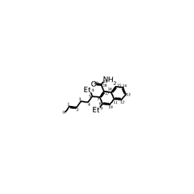 C/C=C/CCC(CC)c1c(CC)cc2ccccc2c1C(N)=O